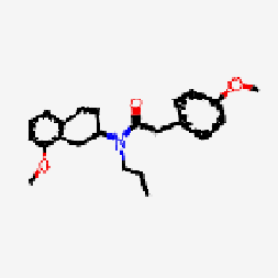 CCCN(C(=O)Cc1ccc(OC)cc1)C1CCc2cccc(OC)c2C1